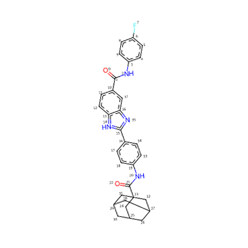 O=C(Nc1ccc(F)cc1)c1ccc2[nH]c(-c3ccc(NC(=O)C45CC6CC(CC(C6)C4)C5)cc3)nc2c1